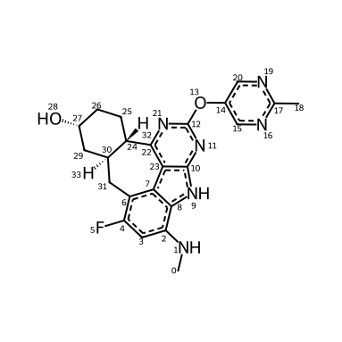 CNc1cc(F)c2c3c1[nH]c1nc(Oc4cnc(C)nc4)nc(c13)[C@H]1CC[C@@H](O)C[C@@H]1C2